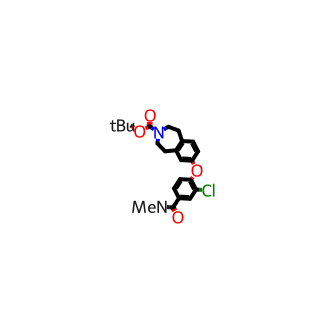 CNC(=O)c1ccc(Oc2ccc3c(c2)CCN(C(=O)OC(C)(C)C)CC3)c(Cl)c1